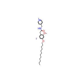 CCCCCCCCCCCCOc1ccc(CC(=O)NCc2cc[n+](C)cc2)c(OC)c1.[I-]